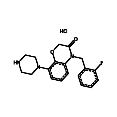 Cl.O=C1COc2c(N3CCNCC3)cccc2N1Cc1ccccc1F